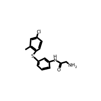 Cc1cc(Cl)ccc1Sc1cccc(NC(=O)CN)c1